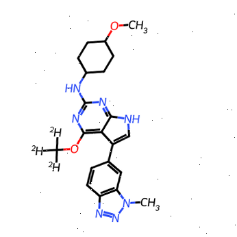 [2H]C([2H])([2H])Oc1nc(NC2CCC(OC)CC2)nc2[nH]cc(-c3ccc4nnn(C)c4c3)c12